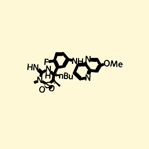 CCCC[C@]1(c2cc(Nc3ccnc4cc(OC)cnc34)ccc2F)NC(=N)N(C)S(=O)(=O)[C@@H]1C